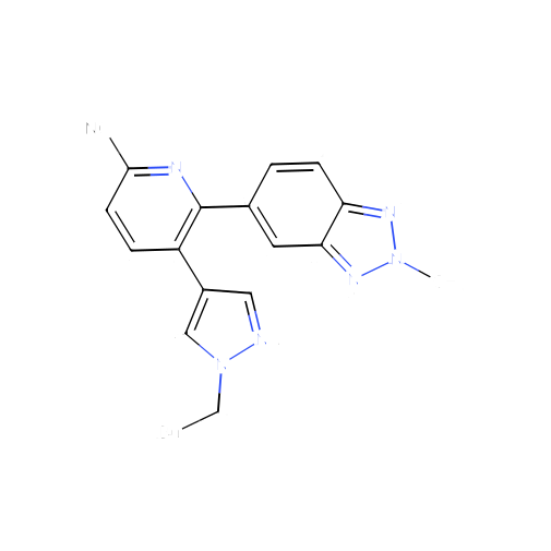 Cn1nc2ccc(-c3nc(C#N)ccc3-c3cnn(CC(C)(C)C)c3)cc2n1